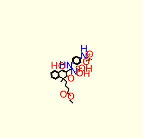 CCOC(=O)CCCC1(C)C(=O)C(C2=NS(O)(O)c3cc(NS(C)(=O)=O)ccc3N2)=C(O)c2ccccc21